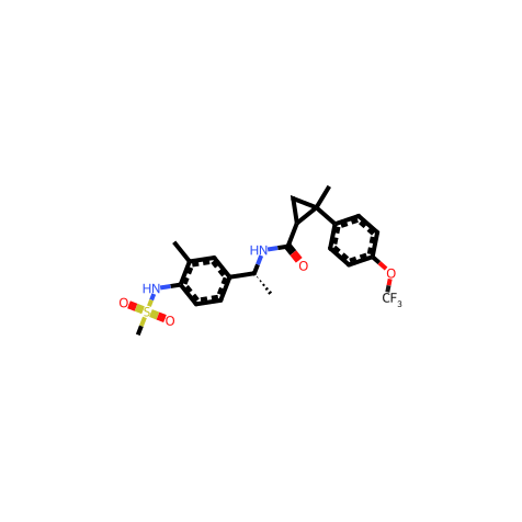 Cc1cc([C@@H](C)NC(=O)C2CC2(C)c2ccc(OC(F)(F)F)cc2)ccc1NS(C)(=O)=O